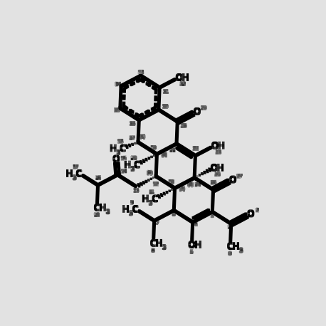 CC(=O)C1=C(O)C(C(C)C)[C@@]2(C)[C@H](CC(=O)C(C)C)[C@]3(C)C(=C(O)[C@@]2(O)C1=O)C(=O)c1c(O)cccc1[C@H]3C